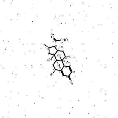 C[C@@H]1C[C@H]2[C@@H]3C[C@H](F)C4=CC(=O)C=C[C@]4(C)[C@@]3(Cl)[C@@H](F)C[C@]2(C)[C@H]1C(=O)C=O